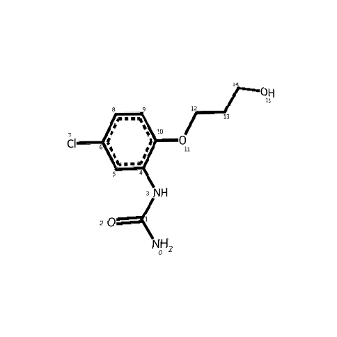 NC(=O)Nc1cc(Cl)ccc1OCCCO